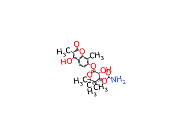 Cc1c(O)c2ccc(O[C@@H]3OC(C)(C)[C@H](C)[C@H](OC(N)=O)C3O)c(C)c2oc1=O